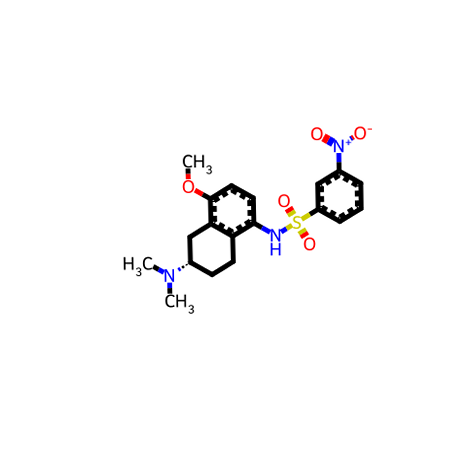 COc1ccc(NS(=O)(=O)c2cccc([N+](=O)[O-])c2)c2c1C[C@@H](N(C)C)CC2